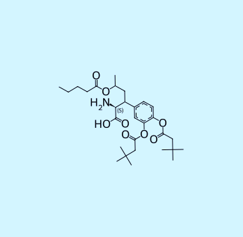 CCCCC(=O)OC(C)CC(c1ccc(OC(=O)CC(C)(C)C)c(OC(=O)CC(C)(C)C)c1)[C@H](N)C(=O)O